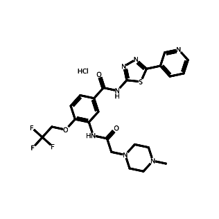 CN1CCN(CC(=O)Nc2cc(C(=O)Nc3nnc(-c4cccnc4)s3)ccc2OCC(F)(F)F)CC1.Cl